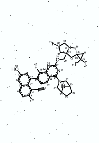 C#Cc1c(F)ccc2cc(O)cc(-c3ccc4c(N5CC6CCC(C5)N6)nc(OC[C@@]56C[C@@H](F)CN5C[C@@]5(CC5(F)F)C6)nc4c3F)c12